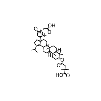 CC(C)C1=C2C3CC[C@@H]4C5(C)CC[C@H](OC(=O)CC(C)(C)C(=O)O)C(C)(C)[C@@H]5CCC4(C)[C@]3(C)CC[C@@]2(c2cc(=O)n(CC(=O)O)n2C)CC1